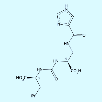 CC(C)C[C@H](NC(=O)N[C@@H](CNC(=O)c1c[nH]cn1)C(=O)O)C(=O)O